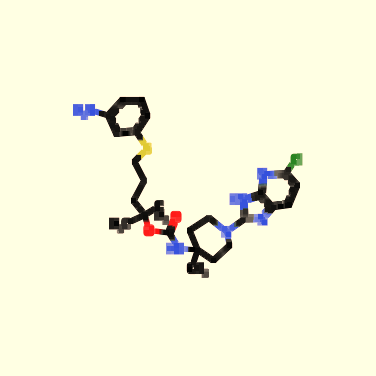 CC1(NC(=O)OC(C)(C)CCCSc2cccc(N)c2)CCN(c2nc3ccc(Cl)nc3[nH]2)CC1